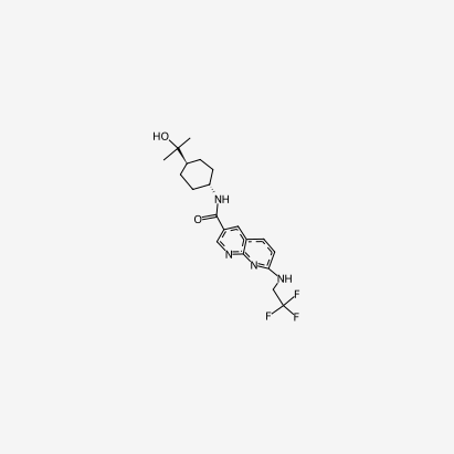 CC(C)(O)[C@H]1CC[C@H](NC(=O)c2cnc3nc(NCC(F)(F)F)ccc3c2)CC1